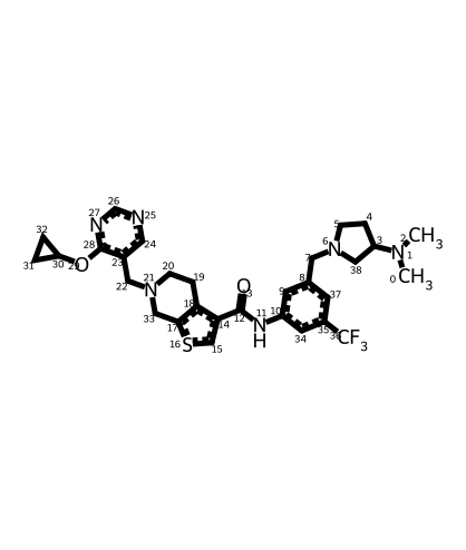 CN(C)C1CCN(Cc2cc(NC(=O)c3csc4c3CCN(Cc3cncnc3OC3CC3)C4)cc(C(F)(F)F)c2)C1